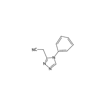 N#CCc1nncn1-c1ccccc1